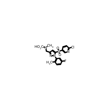 Cc1ccc(F)cc1-n1nc(CN(C)C(=O)O)cc1S(=O)(=O)c1ccc(Cl)nc1